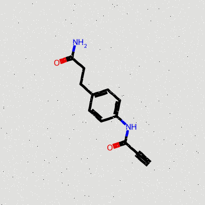 C#CC(=O)Nc1ccc(CCC(N)=O)cc1